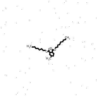 CCCCCCCCCOC(=O)C1CCC(C)CC1C(=O)OCCCCCCCCC